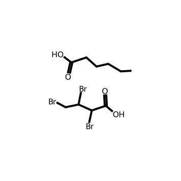 CCCCCC(=O)O.O=C(O)C(Br)C(Br)CBr